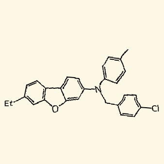 CCc1ccc2c(c1)oc1cc(N(Cc3ccc(Cl)cc3)c3ccc(C)cc3)ccc12